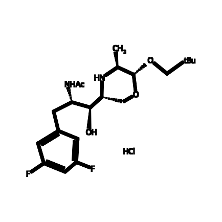 CC(=O)N[C@@H](Cc1cc(F)cc(F)c1)[C@H](O)[C@H]1CO[C@@H](OCC(C)(C)C)[C@H](C)N1.Cl